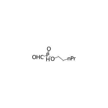 CCCCCO[PH](=O)C=O